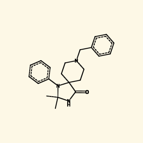 CC1(C)NC(=O)C2(CCN(Cc3ccccc3)CC2)N1c1ccccc1